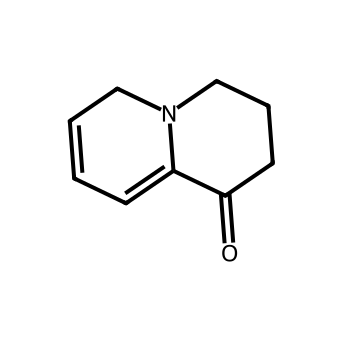 O=C1CCCN2CC=CC=C12